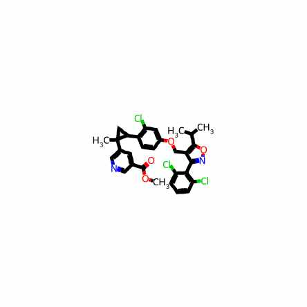 COC(=O)c1cncc(C2(C)CC2c2ccc(OCc3c(-c4c(Cl)cccc4Cl)noc3C(C)C)cc2Cl)c1